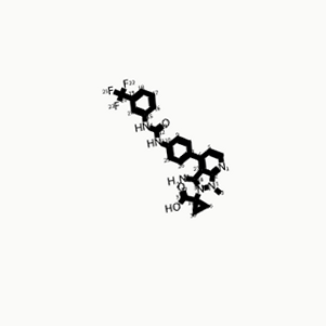 CN1c2nccc(-c3ccc(NC(=O)Nc4cccc(C(F)(F)F)c4)cc3)c2C(N)N1C1(C(=O)O)CC1